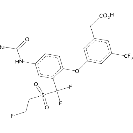 CC(C)(C)C(=O)Nc1ccc(Oc2cc(CC(=O)O)cc(C(F)(F)F)c2)c(C(F)(F)S(=O)(=O)CCF)c1